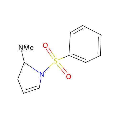 CNC1CC=CN1S(=O)(=O)c1ccccc1